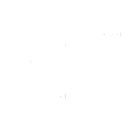 O=C(O)c1ccc(COc2ccc3c(c2)C/C(=C\c2cc(Cl)cc(C(F)(F)F)c2)C3=O)cc1